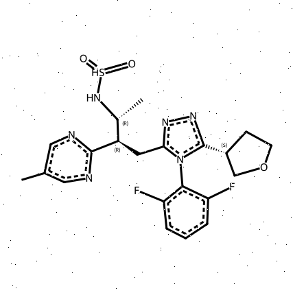 Cc1cnc([C@H](Cc2nnc([C@@H]3CCOC3)n2-c2c(F)cccc2F)[C@@H](C)N[SH](=O)=O)nc1